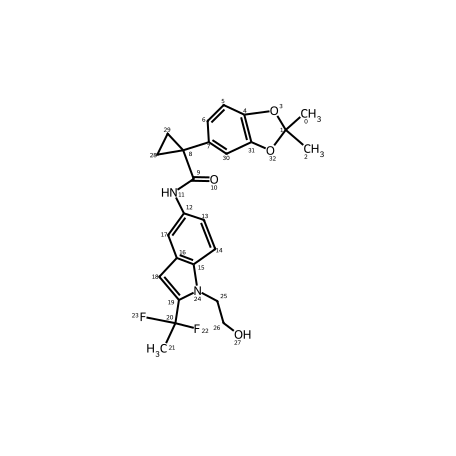 CC1(C)Oc2ccc(C3(C(=O)Nc4ccc5c(c4)cc(C(C)(F)F)n5CCO)CC3)cc2O1